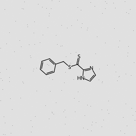 S=C(SCc1ccccc1)c1ncc[nH]1